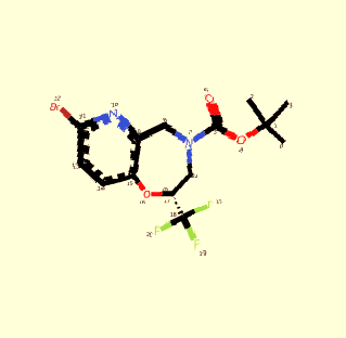 CC(C)(C)OC(=O)N1Cc2nc(Br)ccc2O[C@@H](C(F)(F)F)C1